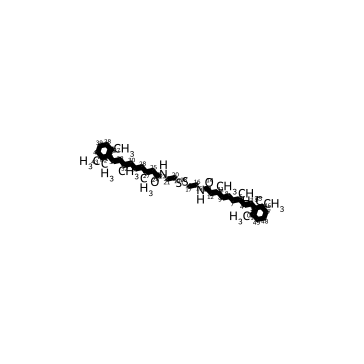 CC1=C(/C=C/C(C)=C/C=C/C(C)=C/C(=O)NCCSSCCNC(=O)/C=C(C)/C=C/C=C(C)/C=C/C2=C(C)CCCC2(C)C)C(C)(C)CCC1